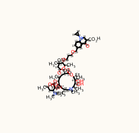 CC[C@H]1OC(=O)[C@H](C)[C@@H](O[C@H]2C[C@@](C)(OC)[C@@H](OCCCOCc3ccc4c(c3)c(=O)c(C(=O)O)cn4C3CC3)[C@H](C)O2)[C@H](C)[C@@H](O[C@@H]2O[C@H](C)C[C@H](N(C)C)[C@H]2O)[C@](C)(O)C[C@@H](C)CN(C)[C@H](C)[C@@H](O)[C@]1(C)O